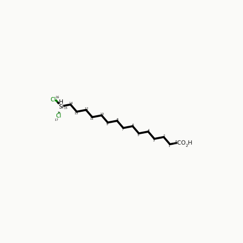 O=C(O)CCCCCCCCCCCCCC[SiH](Cl)Cl